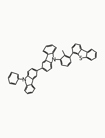 Cc1c(-c2cccc3c2sc2ccccc23)cccc1-n1c2ccccc2c2cc(-c3ccc4c(c3)c3ccccc3n4-c3ccccc3)ccc21